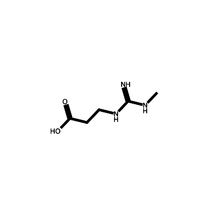 CNC(=N)NCCC(=O)O